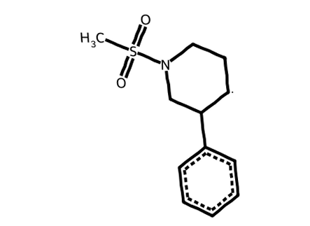 CS(=O)(=O)N1CC[CH]C(c2ccccc2)C1